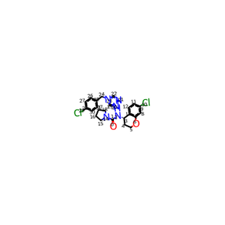 O=C(N[C@H]1CCOc2cc(Cl)ccc21)N1CCC[C@@H]1c1nncn1Cc1ccc(Cl)cc1